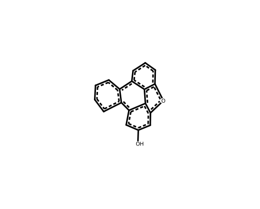 Oc1cc2oc3cccc4c5ccccc5c(c1)c2c34